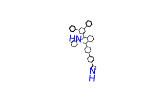 CC(C1CCC(C2=CC=C(C3=CNCC3)CC2)CC1)C1CCCCC1C(CNC1C=CCCC1)C1=CC(c2ccccc2)CC(c2ccccc2)C1